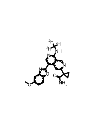 [2H]C([2H])([2H])Nc1ncc(-c2nc3cc(OC)ccc3o2)c2cc(C3(C(N)=O)CC3)ncc12